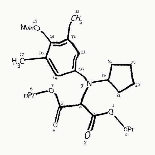 CCCOC(=O)C(C(=O)OCCC)N(c1cc(C)c(OC)c(C)c1)C1CCCC1